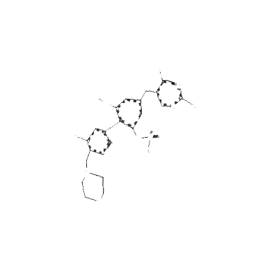 CCOc1cc(Cc2cnc(N)nc2N)cc(OS(=O)(=O)C(C)CC)c1-c1ccc(CN2CCOCC2)c(N)c1